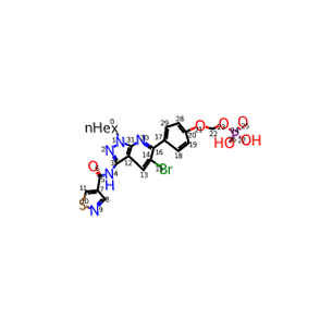 CCCCCCn1nc(NC(=O)c2cnsc2)c2cc(Br)c(-c3ccc(OCOP(=O)(O)O)cc3)nc21